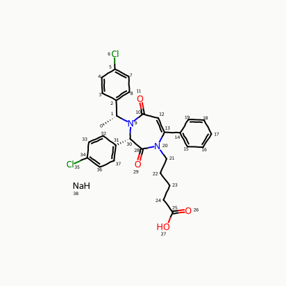 C[C@H](c1ccc(Cl)cc1)N1C(=O)C=C(c2ccccc2)N(CCCCC(=O)O)C(=O)[C@@H]1c1ccc(Cl)cc1.[NaH]